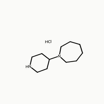 C1CCCN(C2CCNCC2)CC1.Cl